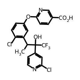 CC(c1cc(Oc2ccc(C(=O)O)cn2)ccc1Cl)C(O)(c1ccnc(Cl)c1)C(F)(F)F